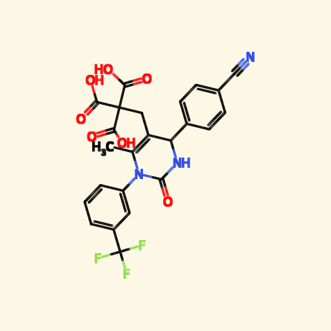 CC1=C(CC(C(=O)O)(C(=O)O)C(=O)O)C(c2ccc(C#N)cc2)NC(=O)N1c1cccc(C(F)(F)F)c1